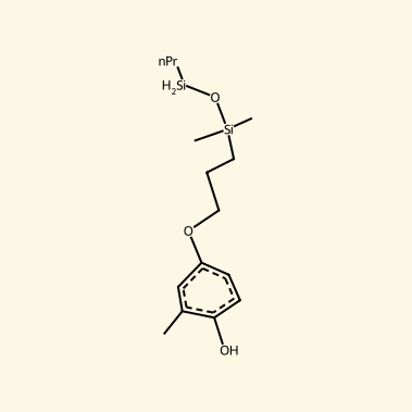 CCC[SiH2]O[Si](C)(C)CCCOc1ccc(O)c(C)c1